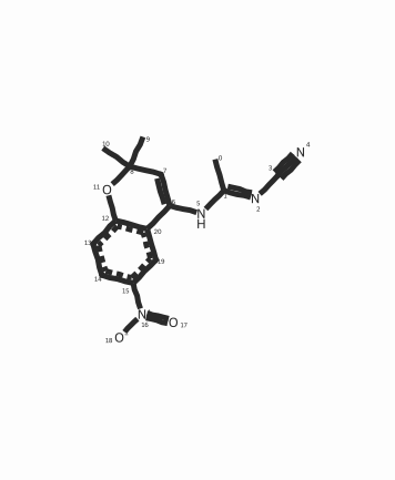 C/C(=N\C#N)NC1=CC(C)(C)Oc2ccc([N+](=O)[O-])cc21